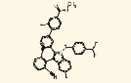 COC(=O)c1ccc(-c2cccc(-c3c(-c4c(C#N)cccc4C#N)c4cc(F)ccc4n3Sc3ccc(C(F)F)cc3)c2)c(F)c1